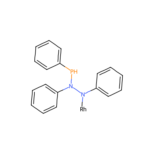 [Rh][N](c1ccccc1)N(Pc1ccccc1)c1ccccc1